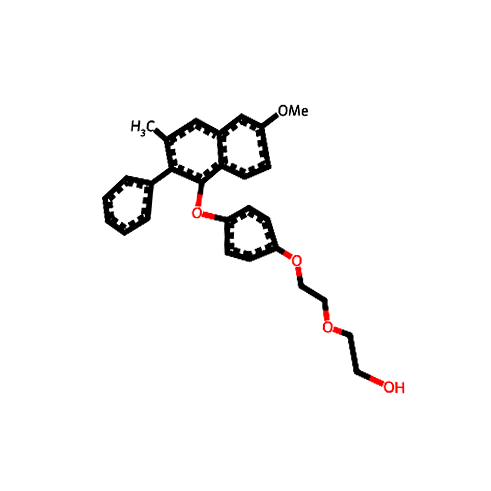 COc1ccc2c(Oc3ccc(OCCOCCO)cc3)c(-c3ccccc3)c(C)cc2c1